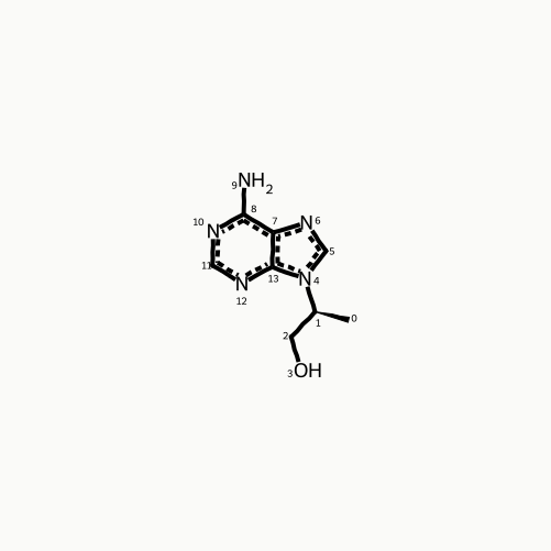 C[C@@H](CO)n1cnc2c(N)ncnc21